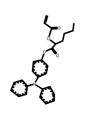 C=CC(=O)OC(CCCC)C(=O)Oc1ccc(N(c2ccccc2)c2ccccc2)cc1